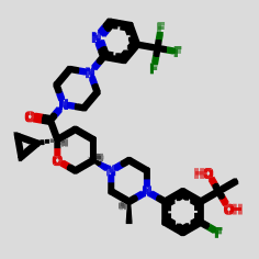 C[C@H]1CN([C@@H]2CC[C@@](C(=O)N3CCN(c4cc(C(F)(F)F)ccn4)CC3)(C3CC3)OC2)CCN1c1ccc(F)c(C(C)(O)O)c1